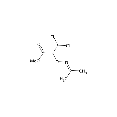 COC(=O)C(ON=C(C)C)C(Cl)Cl